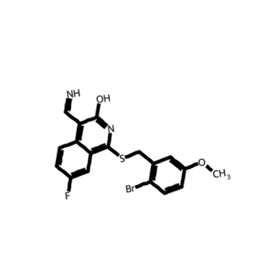 COc1ccc(Br)c(CSc2nc(O)c(C=N)c3ccc(F)cc23)c1